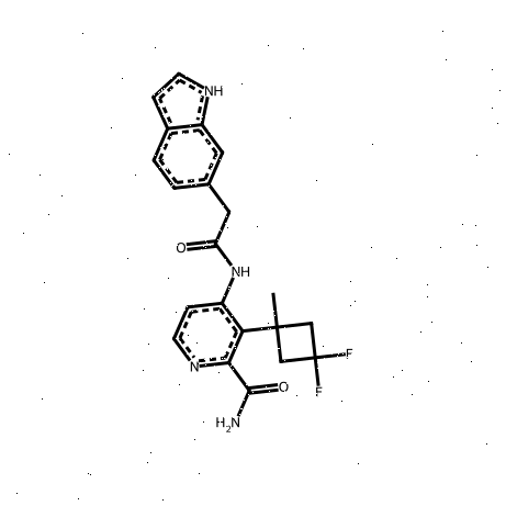 CC1(c2c(NC(=O)Cc3ccc4cc[nH]c4c3)ccnc2C(N)=O)CC(F)(F)C1